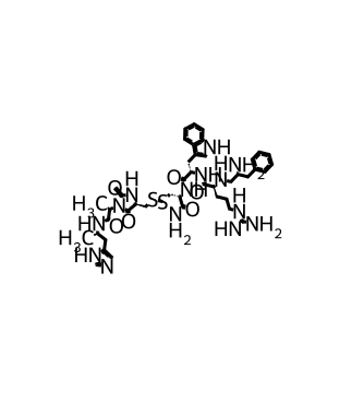 C[C@H](Cc1cnc[nH]1)NC(=O)[C@@H](C)N1C(=O)N[C@@H](CSSC[C@H](NC(=O)[C@H](Cc2c[nH]c3ccccc23)NC(=O)[C@H](CCCNC(=N)N)NC[C@H](N)Cc2ccccc2)C(N)=O)C1=O